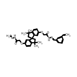 C=Cc1cccc(C=NNC(=O)COc2ccc3c(c2)C2(CC(C)(C)c4ccc(OCC(=O)NN=C)cc42)CC3(C)C)c1